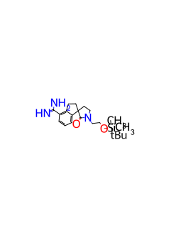 CC(C)(C)[Si](C)(C)OCCN1CCC2(CCc3c(C(=N)N)cccc32)C1=O